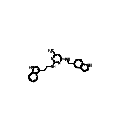 FC(F)(F)c1cc(NCc2ccc3[nH]ccc3c2)nc(NCCc2c[nH]c3ccccc23)n1